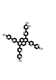 N#Cc1ccc(-c2ccc(-c3cc(-c4ccc(C5=CNC(C#N)C=C5)nc4)c4ccc5c(-c6ccc(-c7ccc(C#N)nc7)nc6)cc(-c6ccc(-c7ccc(C#N)nc7)nc6)c6ccc3c4c56)cn2)cn1